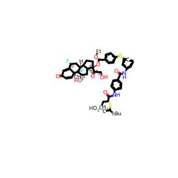 CCCCC(C)SC(CC(=O)O)C(=O)Nc1ccc(C(=O)Nc2cccc(Sc3ccc([C@H](OCC)O[C@]4(C(=O)CO)CCC5[C@@H]6C[C@H](F)C7=CC(=O)C=C[C@]7(C)[C@@]6(F)[C@@H](O)C[C@@]54C)cc3)c2)cc1